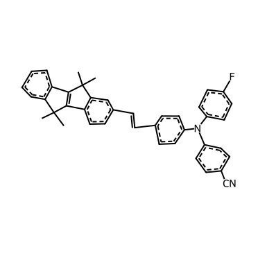 CC1(C)C2=C(c3ccccc31)C(C)(C)c1cc(/C=C/c3ccc(N(c4ccc(F)cc4)c4ccc(C#N)cc4)cc3)ccc12